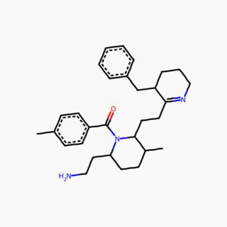 Cc1ccc(C(=O)N2C(CCN)CCC(C)C2CCC2=NCCCC2Cc2ccccc2)cc1